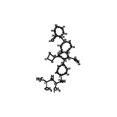 CC(C)NC(C)Nc1ccc(-c2c(C#N)c3ccc(-n4ccccc4=O)cc3n2C2CCC2)cc1